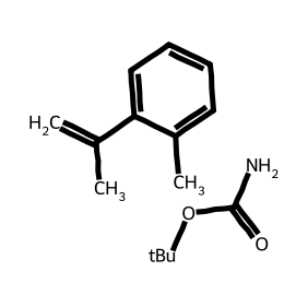 C=C(C)c1ccccc1C.CC(C)(C)OC(N)=O